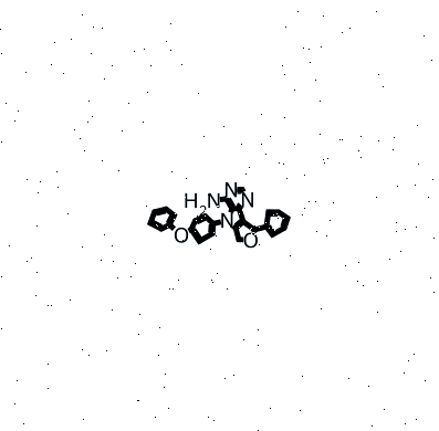 Nc1ncnc2c3c(n(-c4ccc(Oc5ccccc5)cc4)c12)COC3c1ccccc1